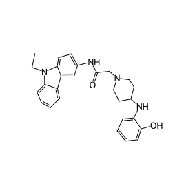 CCn1c2ccccc2c2cc(NC(=O)CN3CCC(Nc4ccccc4O)CC3)ccc21